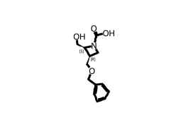 O=C(O)N1C[C@@H](COCc2ccccc2)[C@H]1CO